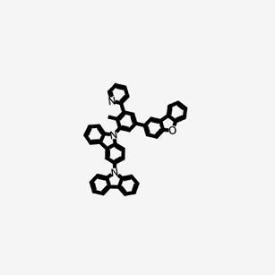 Cc1c(-c2ccccn2)cc(-c2ccc3oc4ccccc4c3c2)cc1-n1c2ccccc2c2cc(-n3c4ccccc4c4ccccc43)ccc21